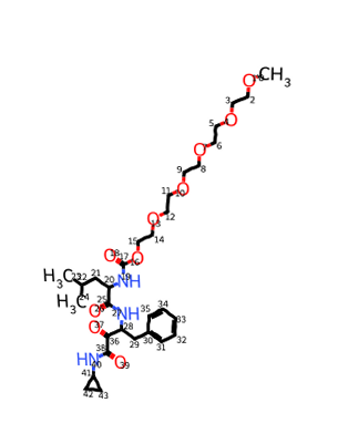 COCCOCCOCCOCCOCCOC(=O)NC(CC(C)C)C(=O)NC(Cc1ccccc1)C(=O)C(=O)NC1CC1